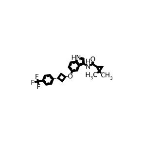 CC1(C)CC1C(=O)Nc1c[nH]c2ccc(O[C@H]3C[C@@H](c4ccc(C(F)(F)F)cc4)C3)cc12